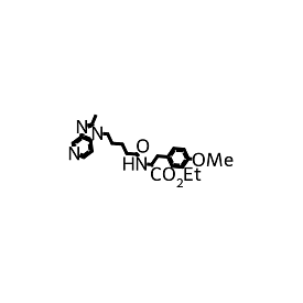 CCOC(=O)[C@H](Cc1ccc(OC)cc1)NC(=O)CCCCn1c(C)nc2cnccc21